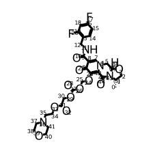 C[C@H]1CO[C@@H]2Cn3cc(C(=O)NCc4ccc(F)cc4F)c(=O)c(OCOC(=O)OCC(=O)OCCN4CCOCC4)c3C(=O)N12